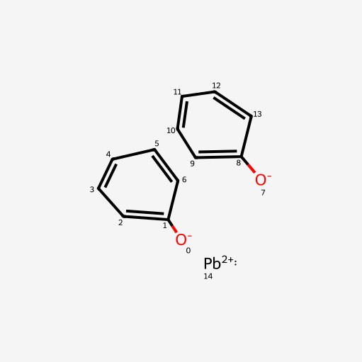 [O-]c1ccccc1.[O-]c1ccccc1.[Pb+2]